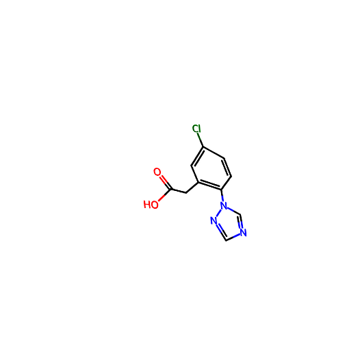 O=C(O)Cc1cc(Cl)ccc1-n1cncn1